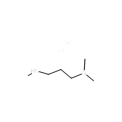 CNCCCN(C)C.[Cl-].[Cu+]